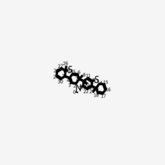 CN1C2C=C3C(=CC2(C)C2(C)C=C4SC5C=CC=CC5(C)C4=CC12)SC1(C)C=CC=CC31